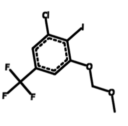 COCOc1cc(C(F)(F)F)cc(Cl)c1I